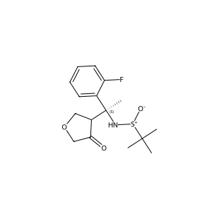 CC(C)(C)[S+]([O-])N[C@](C)(c1ccccc1F)C1COCC1=O